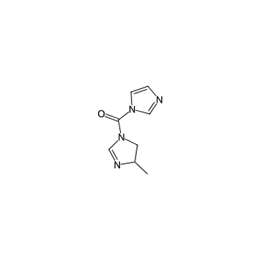 CC1CN(C(=O)n2ccnc2)C=N1